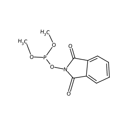 COP(OC)ON1C(=O)c2ccccc2C1=O